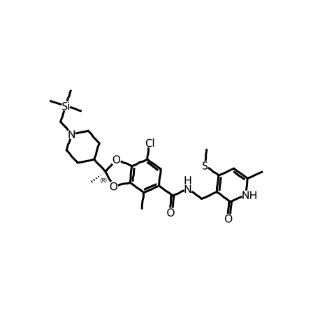 CSc1cc(C)[nH]c(=O)c1CNC(=O)c1cc(Cl)c2c(c1C)O[C@@](C)(C1CCN(C[Si](C)(C)C)CC1)O2